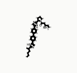 CCCCC(C)c1ncc(-c2ccc(-c3ccc(-c4cnc(C5CCCN5C(=O)C[C@H](N)CC)[nH]4)cc3)cc2)[nH]1